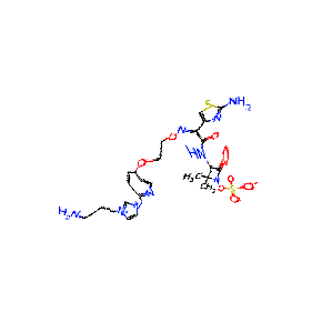 CC1(C)[C@H](NC(=O)/C(=N\OCCOc2ccc(-n3cc[n+](CCCN)c3)nc2)c2csc(N)n2)C(=O)N1OS(=O)(=O)[O-]